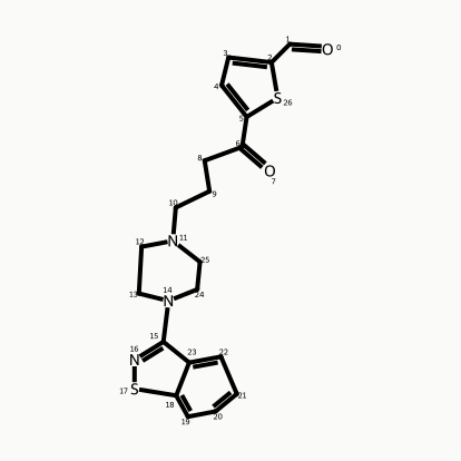 O=Cc1ccc(C(=O)CCCN2CCN(c3nsc4ccccc34)CC2)s1